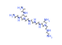 NCCNCCN(CCN)CCNCCNCCNCCN(CCNCCN)CCNCCN